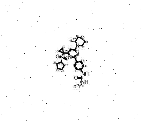 CCCNC(=O)Nc1ccc(-c2nc(N3CCOC[C@@H]3C)cc(C3(S(=O)(=O)C4CCCC4)CC3)n2)cc1